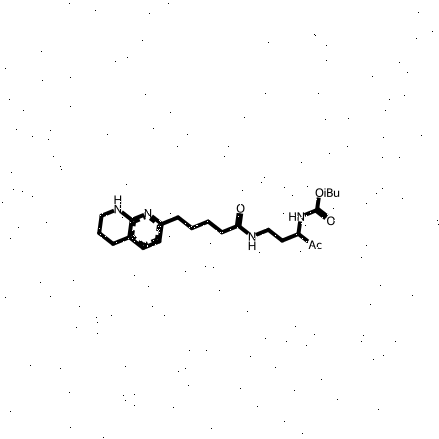 CC(=O)C(CCNC(=O)CCCCc1ccc2c(n1)NCCC2)NC(=O)OCC(C)C